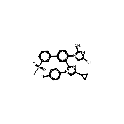 Cc1nc(C(F)(F)F)cn1-c1ccc(-c2cccc(S(C)(=O)=O)c2)cc1-c1nc(C2CC2)cn1-c1ccc(Cl)cc1